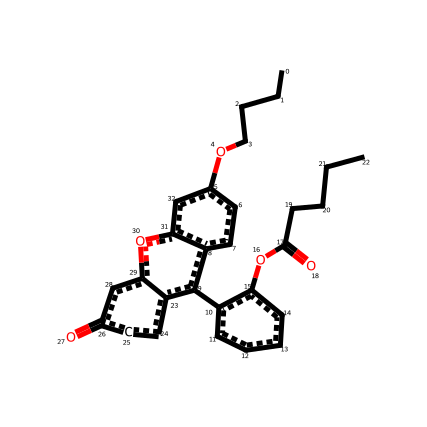 CCCCOc1ccc2c(-c3ccccc3OC(=O)CCCC)c3ccc(=O)cc-3oc2c1